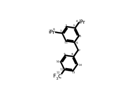 CC(C)c1[c]c(C(C)C)cc(Cc2ccc(C(F)(F)F)cc2)c1